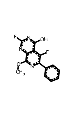 COc1nc(-c2ccccc2)c(F)c2c(O)nc(F)nc12